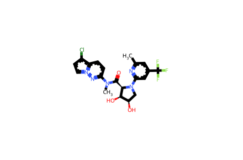 Cc1cc(C(F)(F)F)cc(N2C[C@@H](O)[C@@H](O)[C@H]2C(=O)N(C)c2ccc3c(Cl)ccn3n2)n1